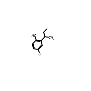 C[C](CF)c1cc(Cl)ccc1C#N